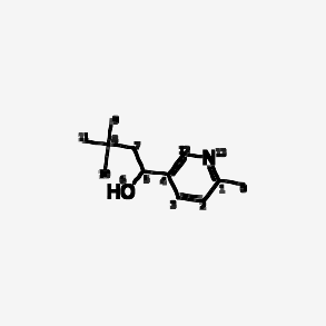 Cc1ccc(C(O)CC(C)(C)C)cn1